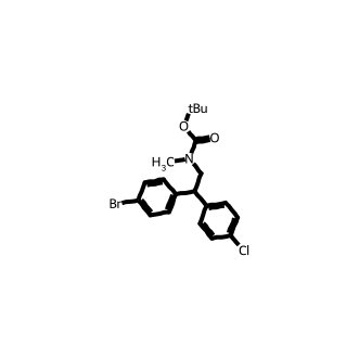 CN(CC(c1ccc(Cl)cc1)c1ccc(Br)cc1)C(=O)OC(C)(C)C